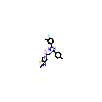 Cc1nc2c(s1)CN(C(=O)Cn1nc(-c3ccc(F)c(C)c3)nc1C1CCC(C)CC1)C2